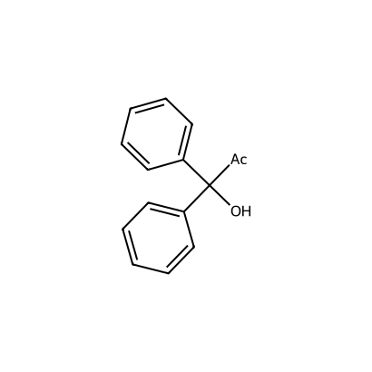 CC(=O)C(O)(c1ccccc1)c1ccccc1